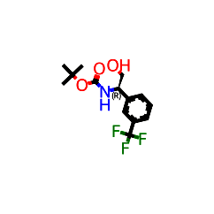 CC(C)(C)OC(=O)N[C@@H](CO)c1cccc(C(F)(F)F)c1